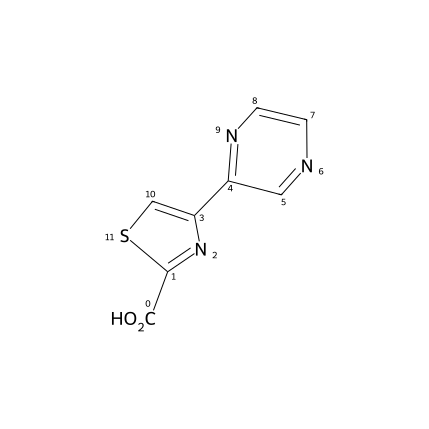 O=C(O)c1nc(-c2cnccn2)cs1